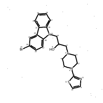 OC(CN1CCN(c2nccs2)CC1)Cn1c2ccccc2c2cc(Br)ccc21